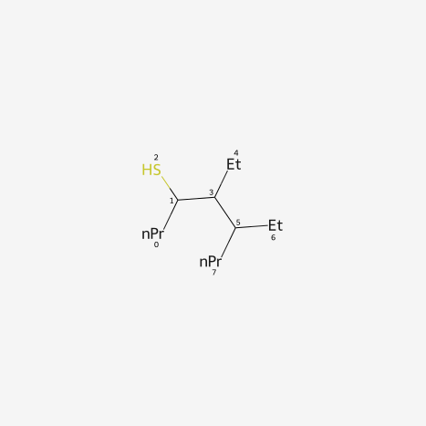 CCCC(S)C(CC)C(CC)CCC